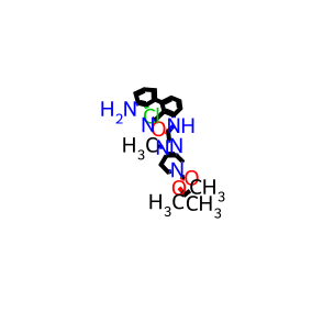 Cn1c(C(=O)Nc2cccc(-c3cccc(N)c3Cl)c2C#N)nc2c1CCN(C(=O)OC(C)(C)C)C2